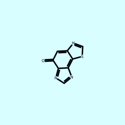 O=C1C=c2ncsc2=C2N=CN=C12